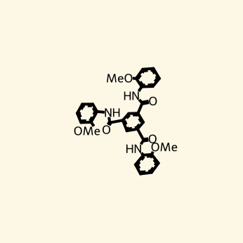 COc1ccccc1NC(=O)c1cc(C(=O)Nc2ccccc2OC)cc(C(=O)Nc2ccccc2OC)c1